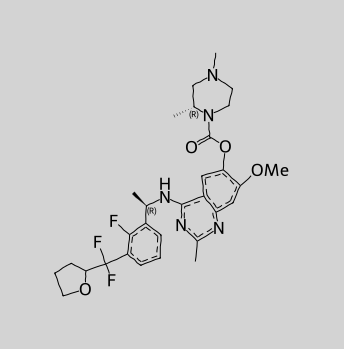 COc1cc2nc(C)nc(N[C@H](C)c3cccc(C(F)(F)C4CCCO4)c3F)c2cc1OC(=O)N1CCN(C)C[C@H]1C